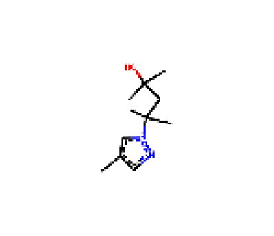 Cc1cnn(C(C)(C)CC(C)(C)O)c1